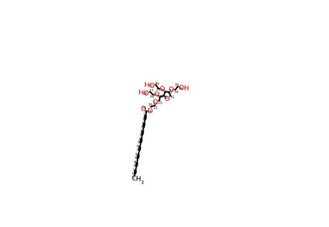 CC#CC#CC#CC#CC#CC#CC#CC#CC(=O)OCCOCC(OCCO)C1OCC(OCCO)C1OCCO